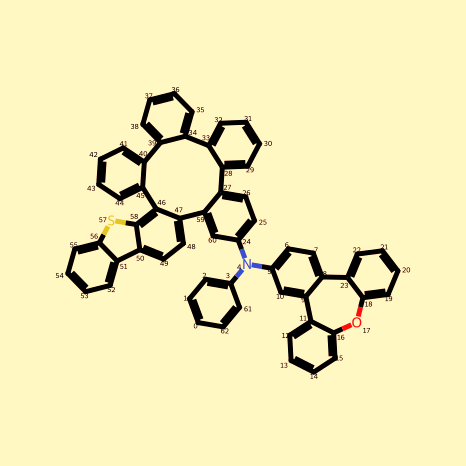 c1ccc(N(c2ccc3c(c2)-c2ccccc2Oc2ccccc2-3)c2ccc3c4ccccc4c4ccccc4c4ccccc4c4c(ccc5c6ccccc6sc54)c3c2)cc1